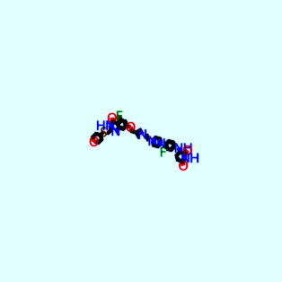 O=C1CCC(Nc2ccc(N3CCN(CCN4CC(COc5cc(F)c6c(=O)[nH]c(CSC7CCOCC7)nc6c5)C4)CC3)c(F)c2)C(=O)N1